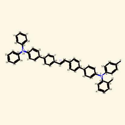 Cc1ccc(N(c2ccc(-c3ccc(/C=C/c4ccc(-c5ccc(N(c6ccccc6)c6ccccc6)cc5)cc4)cc3)cc2)c2ccccc2C)cc1